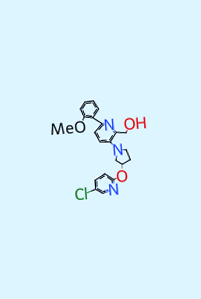 COc1ccccc1-c1ccc(N2CC[C@H](Oc3ccc(Cl)cn3)C2)c(CO)n1